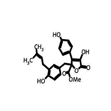 COC(=O)C1(Cc2ccc(O)c(CC=C(C)C)c2)OC(=O)C(O)=C1c1ccc(O)cc1